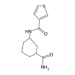 NC(=O)C1CCCC(NC(=O)c2ccsc2)C1